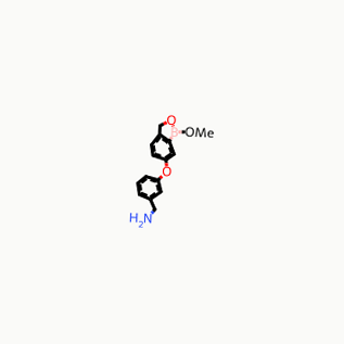 COB1OCc2ccc(Oc3cccc(CN)c3)cc21